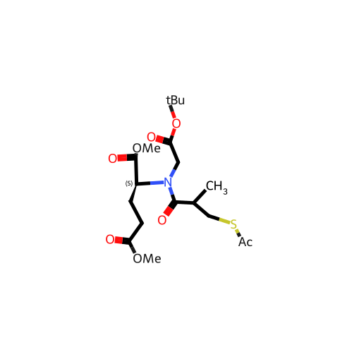 COC(=O)CC[C@@H](C(=O)OC)N(CC(=O)OC(C)(C)C)C(=O)C(C)CSC(C)=O